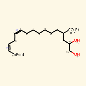 CCCCC/C=C\C/C=C\CCCCCCC(CC(O)CO)C(=O)OCC